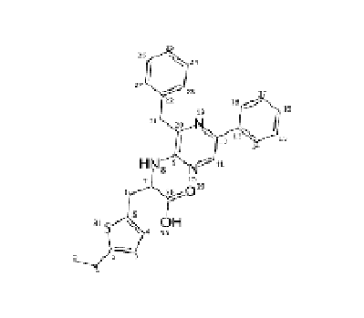 CCc1ccc(CC(Nc2ncc(-c3ccccc3)nc2Cc2ccccc2)C(=O)O)s1